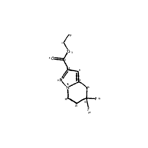 CCOC(=O)c1cc2n(n1)CCC(F)(F)C2